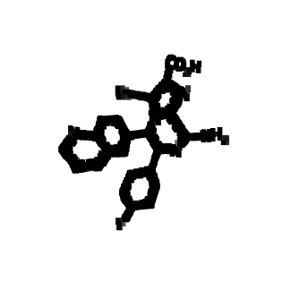 CCc1c(C(=O)O)nc2c(N)nc(-c3ccc(F)cc3)c(-c3ccc4ncccc4c3)n12